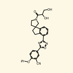 CC(C)Oc1ccc(-c2nc(-c3cccc4c3CCC43CCN(C(=O)C(O)CO)C3)no2)cc1C#N